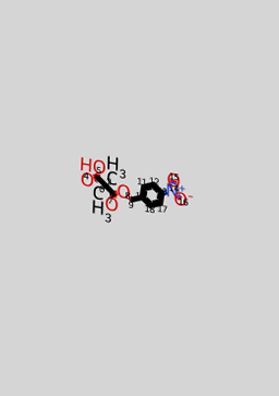 CC(C)(C(=O)O)C(=O)OCc1ccc([N+](=O)[O-])cc1